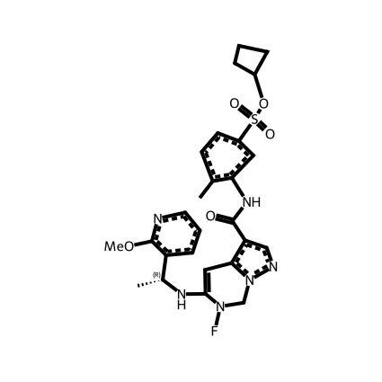 COc1ncccc1[C@@H](C)NC1=Cc2c(C(=O)Nc3cc(S(=O)(=O)OC4CCC4)ccc3C)cnn2CN1F